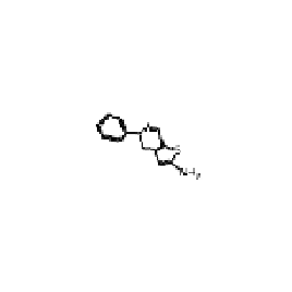 Nc1cc2c(s1)C=NC(c1ccccc1)C2